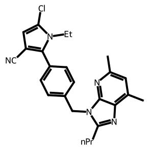 CCCc1nc2c(C)cc(C)nc2n1Cc1ccc(-c2c(C#N)cc(Cl)n2CC)cc1